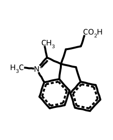 CC1=[N+](C)c2ccccc2C1(CCC(=O)O)Cc1ccccc1